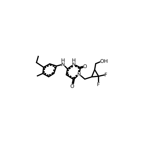 CCc1cc(Nc2cc(=O)n(CC3C(CO)C3(F)F)c(=O)[nH]2)ccc1C